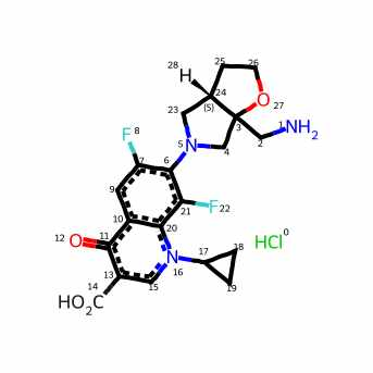 Cl.NCC12CN(c3c(F)cc4c(=O)c(C(=O)O)cn(C5CC5)c4c3F)C[C@@H]1CCO2